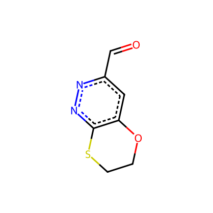 O=Cc1cc2c(nn1)SCCO2